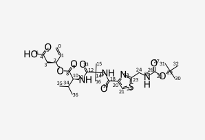 C=C[C@H](CC(=O)O)OC(=O)[C@@H](NC(=O)C(C)(C)NC(=O)c1csc(CNC(=O)OC(C)(C)C)n1)C(C)C